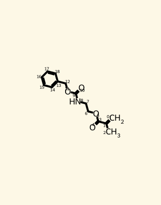 C=C(C)C(=O)OCCNC(=O)OCc1ccccc1